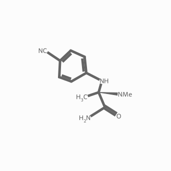 CN[C@@](C)(Nc1ccc(C#N)cc1)C(N)=O